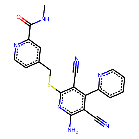 CNC(=O)c1cc(CSc2nc(N)c(C#N)c(-c3ccccn3)c2C#N)ccn1